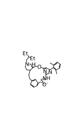 CCC(CC)CN1CCC2CCc3cccc(c3)[S+]([O-])Nc3nc(cc(-c4c(C)cccc4C)n3)OC[C@H]2C1